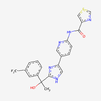 CC(O)(c1cccc(C(F)(F)F)c1)c1nc(-c2ccc(NC(=O)c3cscn3)nc2)c[nH]1